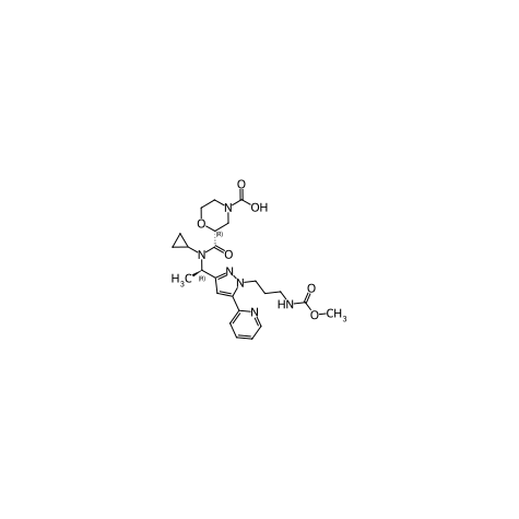 COC(=O)NCCCn1nc([C@@H](C)N(C(=O)[C@H]2CN(C(=O)O)CCO2)C2CC2)cc1-c1ccccn1